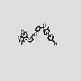 CC1CN(c2ccc(C#N)cn2)CCN1C(=O)c1cccc(OCC2CCCN2c2cn[nH]c(=O)c2C(F)(F)F)c1